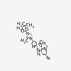 COc1ncc(Br)cc1Nc1ccc(N2CCN(C(=O)OC(C)(C)C)C[C@@H]2C)cn1